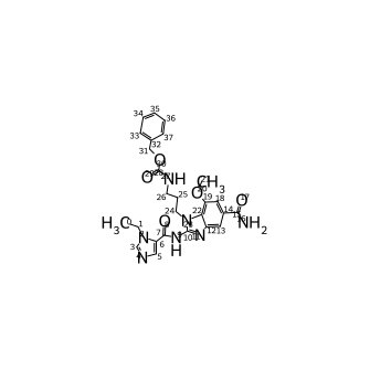 CCn1cncc1C(=O)Nc1nc2cc(C(N)=O)cc(OC)c2n1CCCNC(=O)OCc1ccccc1